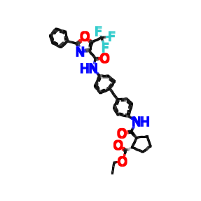 CCOC(=O)[C@H]1CCC[C@@H]1C(=O)Nc1ccc(-c2ccc(NC(=O)c3nc(-c4ccccc4)oc3C(F)(F)F)cc2)cc1